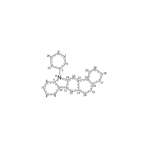 c1ccc(-n2c3ccccc3c3cc4ccc5ccccc5c4cc32)cc1